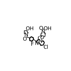 O=C(O)N1CCO[C@@H](Cc2c(-c3ccc(C(=O)N4CC[C@@H](O)C4)cc3F)nc3cc(Cl)ccn23)C1